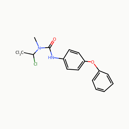 CN(C(=O)Nc1ccc(Oc2ccccc2)cc1)C(Cl)C(Cl)(Cl)Cl